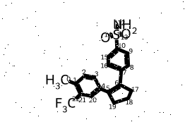 Cc1ccc(C2=C(c3ccc(S(N)(=O)=O)cc3)CCC2)cc1C(F)(F)F